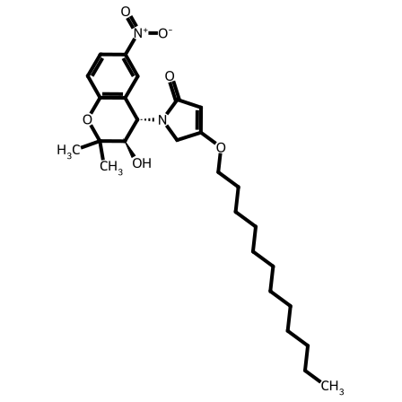 CCCCCCCCCCCCOC1=CC(=O)N([C@H]2c3cc([N+](=O)[O-])ccc3OC(C)(C)[C@@H]2O)C1